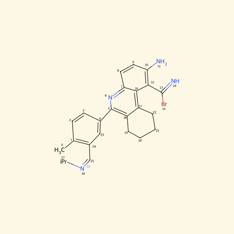 Cc1ccc(-c2nc3ccc(N)c(C(=N)Br)c3c3c2CCCC3)cc1/C=N\C(C)C